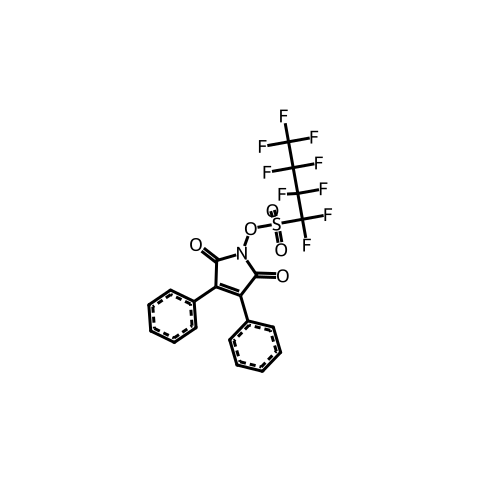 O=C1C(c2ccccc2)=C(c2ccccc2)C(=O)N1OS(=O)(=O)C(F)(F)C(F)(F)C(F)(F)C(F)(F)F